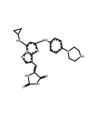 O=C1NC(=O)/C(=C/c2cnn3c(NC4CC4)cc(Nc4ccc(N5CCNCC5)cc4)nc23)N1